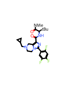 CNC(=O)C(NC(=O)c1nc(-c2cc(F)c(F)cc2F)n2c1CN(CC1CC1)CC2)C(C)(C)C